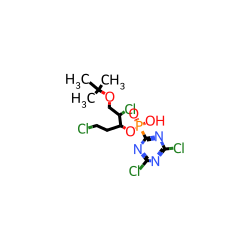 CC(C)(C)OCC(Cl)C(CCCl)OP(=O)(O)c1nc(Cl)nc(Cl)n1